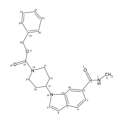 CNC(=O)c1ccc2ccn(C3CCN(C(=O)OCc4ccccc4)CC3)c2c1